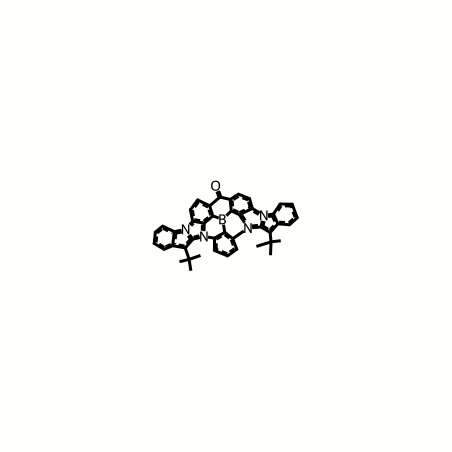 CC(C)(C)c1c2ccccc2n2c3ccc4c5c3n(c12)-c1cccc2c1B5c1c(ccc3c1n-2c1c(C(C)(C)C)c2ccccc2n31)C4=O